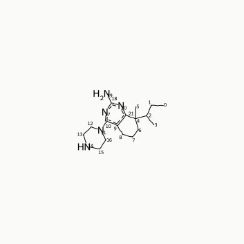 CCC(C)C1(C)CCCc2c(N3CCNCC3)nc(N)nc21